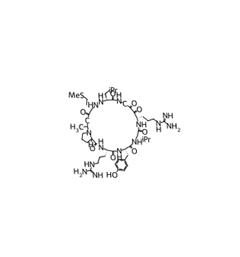 CSCC[C@@H]1NN[C@@H](CC(C)C)C(=O)NCC(=O)C(=O)[C@H](CCCNC(=N)N)NC(=O)[C@H](C(C)C)NC(=O)[C@H](Cc2ccc(O)cc2)NC(=O)[C@H](CCCNC(=N)N)NC(=O)[C@@H]2CCCN2C(C)CC1=O